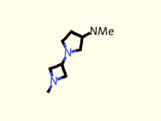 CNC1CCN(C2CN(C)C2)C1